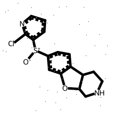 [O-][S+](c1ccc2c(c1)OC1CNCCC21)c1cccnc1Cl